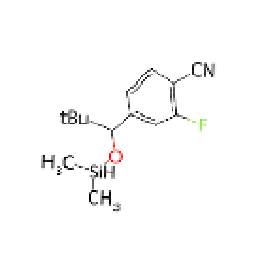 C[SiH](C)OC(c1ccc(C#N)c(F)c1)C(C)(C)C